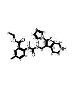 CCOC(=O)c1cc(C)ccc1NC(=O)NCc1c(-n2cccc2)sc2c1CCNC2